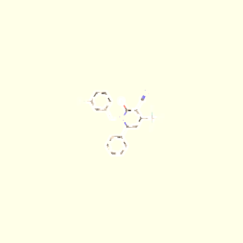 N#Cc1c(C(F)(F)F)cc(-c2ccccc2)n(Cc2cccc(F)c2)c1=O